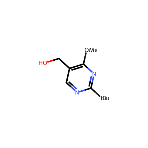 COc1nc(C(C)(C)C)ncc1CO